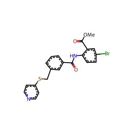 COC(=O)c1cc(Br)ccc1NC(=O)c1cccc(CSc2ccncc2)c1